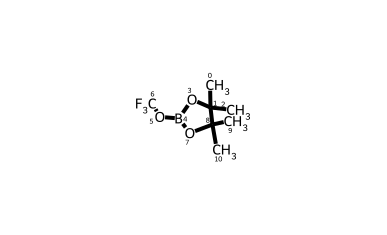 CC1(C)OB(OC(F)(F)F)OC1(C)C